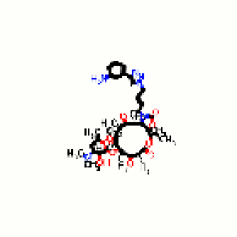 CC[C@H]1OC(=O)[C@@H](C)C(=O)[C@H](C)[C@@H](O[C@@H]2OC(C)CC(N(C)C)C2O)[C@](C)(OC)C[C@@H](C)C(=O)[C@H](C)[C@H]2N(C/C=C/Cn3cc(-c4cccc(N)c4)nn3)C(=O)O[C@]12C